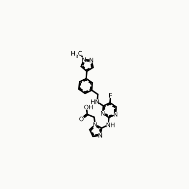 Cn1cc(-c2cccc(CNc3nc(Nc4nccn4CC(=O)O)ncc3F)c2)cn1